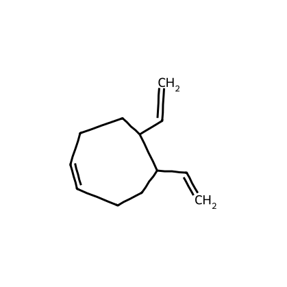 C=CC1CC/C=C\CCC1C=C